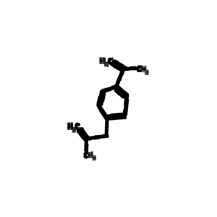 C=C(C)Cc1ccc(C(=C)C)cc1